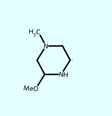 COC1CN(C)C[CH]N1